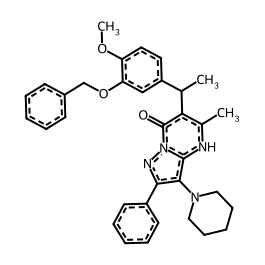 COc1ccc(C(C)c2c(C)[nH]c3c(N4CCCCC4)c(-c4ccccc4)nn3c2=O)cc1OCc1ccccc1